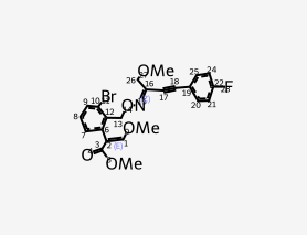 CO/C=C(/C(=O)OC)c1cccc(Br)c1CO/N=C(/C#Cc1ccc(F)cc1)COC